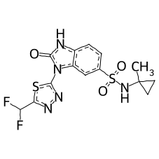 CC1(NS(=O)(=O)c2ccc3[nH]c(=O)n(-c4nnc(C(F)F)s4)c3c2)CC1